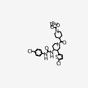 CC(C)(C)OC(=O)N1CCC(C(=O)N2CCC(NC(=O)Nc3ccc(Cl)cc3)C(c3ccc(Cl)s3)C2)CC1